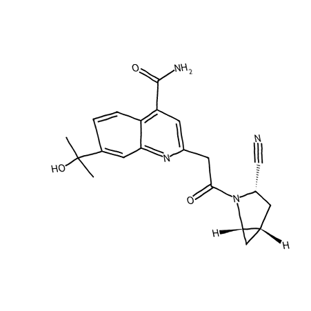 CC(C)(O)c1ccc2c(C(N)=O)cc(CC(=O)N3[C@H](C#N)C[C@@H]4C[C@@H]43)nc2c1